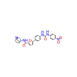 O=C(Nc1ccc(-c2ccc(C(=O)NC3CN4CCC3CC4)o2)cc1)Nc1ccc([N+](=O)[O-])cc1